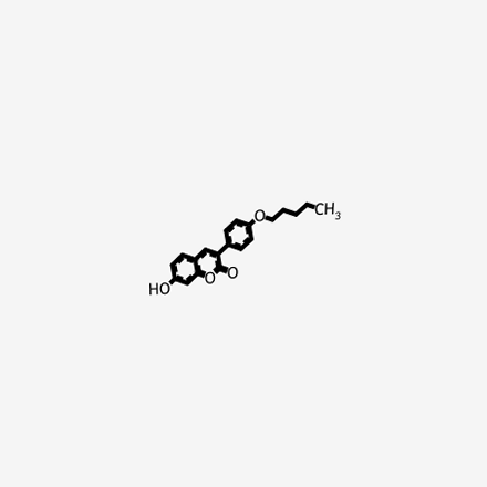 CCCCCOc1ccc(-c2cc3ccc(O)cc3oc2=O)cc1